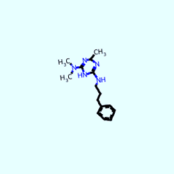 CC1N=C(NCCCc2ccccc2)NC(N(C)C)=N1